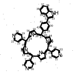 C1=Cc2nc1c(-c1ccncc1)c1ccc([nH]1)c(-c1ccncc1)c1nc(c(-c3ccc(-c4c[nH]c5ccccc45)cc3)c3ccc([nH]3)c2-c2ccncc2)C=C1